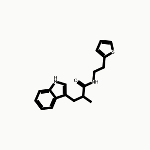 CC(Cc1c[nH]c2ccccc12)C(=O)NCCc1cccs1